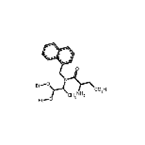 CCOC(OCC)C(C)N(Cc1cccc2ccccc12)C(=O)C(N)CC(=O)O